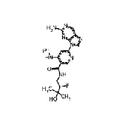 CC(C)Nc1cc(-n2cnc3cnc(N)nc32)ncc1C(=O)NC[C@@H](F)C(C)(C)O